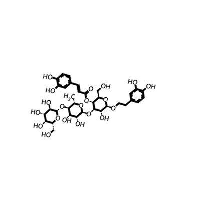 C[C@@H]1O[C@@H](O[C@@H]2[C@@H](O)[C@H](OCCc3ccc(O)c(O)c3)O[C@H](CO)[C@H]2OC(=O)/C=C/c2ccc(O)c(O)c2)[C@H](O)[C@H](O)[C@H]1O[C@@H]1O[C@H](CO)[C@@H](O)[C@H](O)[C@H]1O